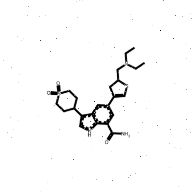 CCN(CC)CC1CC(c2cc(C(N)=O)c3[nH]cc(C4CCS(=O)(=O)CC4)c3c2)=CS1